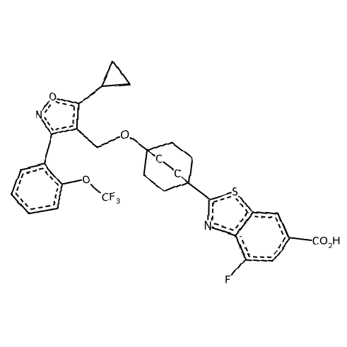 O=C(O)c1cc(F)c2nc(C34CCC(OCc5c(-c6ccccc6OC(F)(F)F)noc5C5CC5)(CC3)CC4)sc2c1